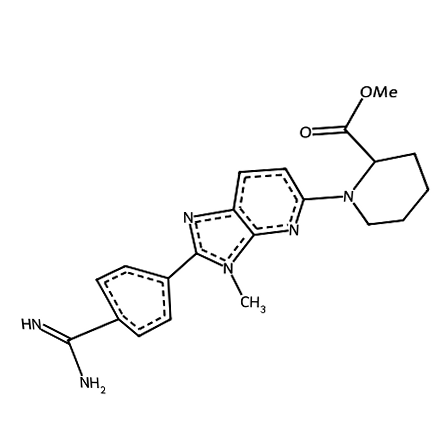 COC(=O)C1CCCCN1c1ccc2nc(-c3ccc(C(=N)N)cc3)n(C)c2n1